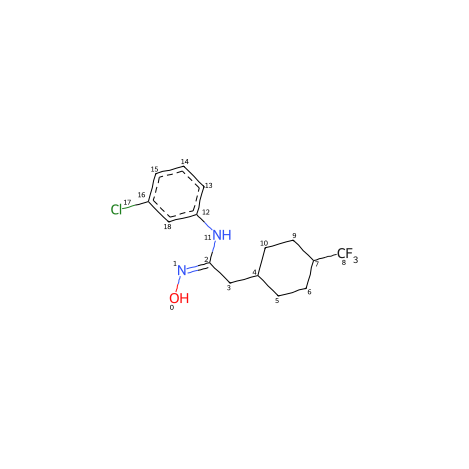 O/N=C(\CC1CCC(C(F)(F)F)CC1)Nc1cccc(Cl)c1